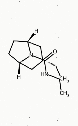 CCNC(=O)N1[C@@H]2CC[C@H]1C[C@@H](CC)C2